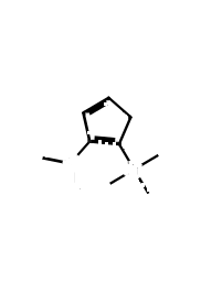 C[SiH2]C1=[C]([Zr]([CH3])([CH3])[CH3])CC=C1